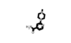 CN1CCN(c2cc(C(N)=O)ccn2)CC1